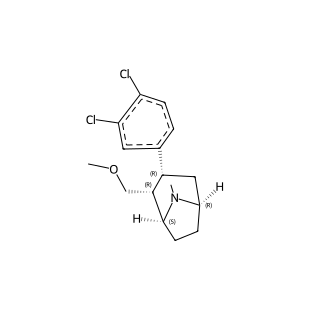 COC[C@@H]1[C@H](c2ccc(Cl)c(Cl)c2)C[C@H]2CC[C@@H]1N2C